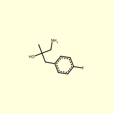 CC(O)(CN)Cc1ccc(F)cc1